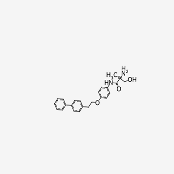 C[C@](N)(CO)C(=O)Nc1ccc(OCCc2ccc(-c3ccccc3)cc2)cc1